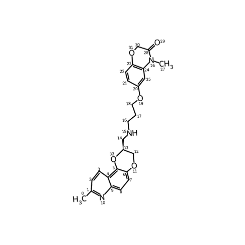 Cc1ccc2c3c(ccc2n1)OC[C@H](CNCCCOc1ccc2c(c1)N(C)C(=O)CO2)O3